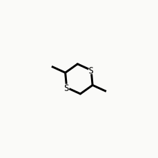 CC1CSC(C)CS1